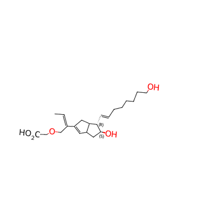 CC=C(COCC(=O)O)C1=CC2C[C@H](O)[C@@H](C=CCCCCCCO)C2C1